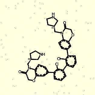 O=C1COc2cc(-c3cccc(-c4cccc(-c5ccc6c(c5)OCC(=O)N6C[C@H]5CCNC5)c4Cl)c3Cl)ccc2N1C[C@H]1CCNC1